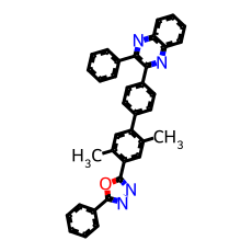 Cc1cc(-c2nnc(-c3ccccc3)o2)c(C)cc1-c1ccc(-c2nc3ccccc3nc2-c2ccccc2)cc1